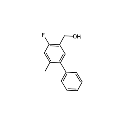 Cc1cc(F)c(CO)cc1-c1ccccc1